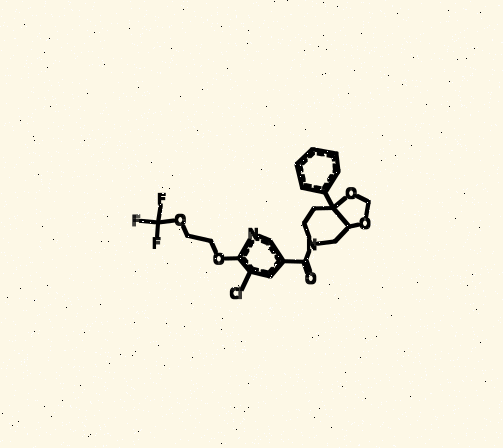 O=C(c1cnc(OCCOC(F)(F)F)c(Cl)c1)N1CCC2(c3ccccc3)OCOC2C1